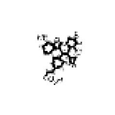 O=C(O)C=Cc1ccc(/C(=C(/c2ccc(F)cc2Cl)C2CCC2)c2coc3c(O)cccc23)cc1